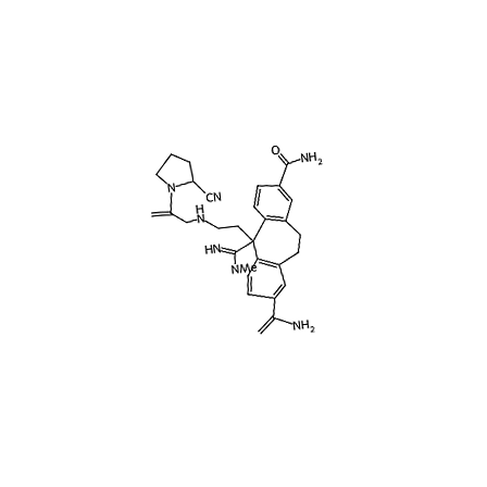 C=C(N)c1ccc2c(c1)CCc1cc(C(N)=O)ccc1C2(CCNCC(=C)N1CCCC1C#N)C(=N)NC